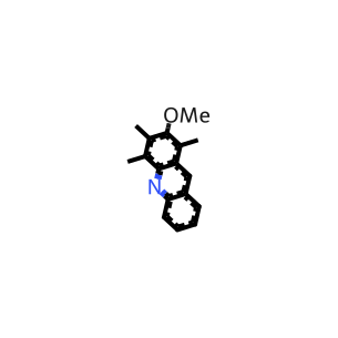 COc1c(C)c(C)c2nc3ccccc3cc2c1C